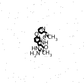 CN(C)Cc1cc(Oc2ccc3cc(C(=O)N(C)C(=N)N)[nH]c3c2)ccn1